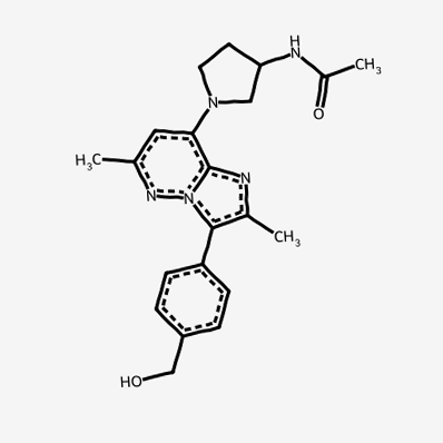 CC(=O)NC1CCN(c2cc(C)nn3c(-c4ccc(CO)cc4)c(C)nc23)C1